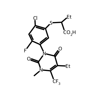 CCc1c(C(F)(F)F)n(C)c(=O)n(-c2cc(SC(CC)C(=O)O)c(Cl)cc2F)c1=O